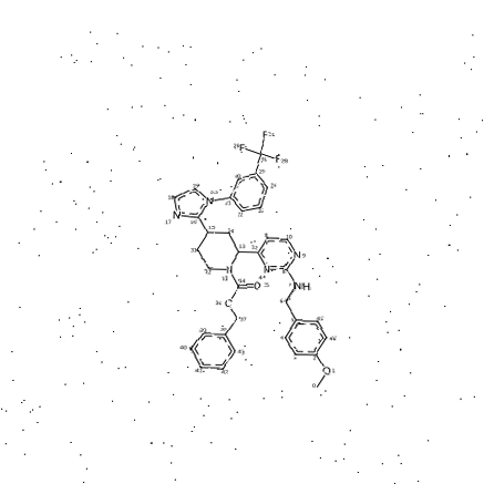 COc1ccc(CNc2nccc(C3CC(c4nccn4-c4cccc(C(F)(F)F)c4)CCN3C(=O)OCc3ccccc3)n2)cc1